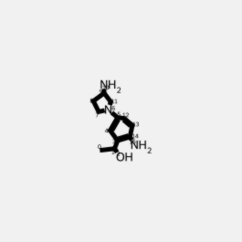 CC(O)c1cc(N2CCC(N)C2)ccc1N